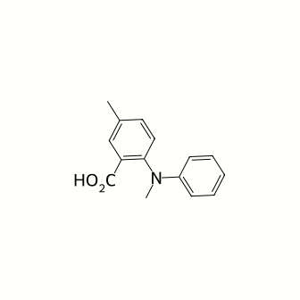 Cc1ccc(N(C)c2ccccc2)c(C(=O)O)c1